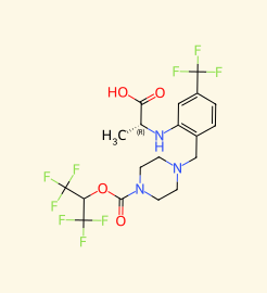 C[C@@H](Nc1cc(C(F)(F)F)ccc1CN1CCN(C(=O)OC(C(F)(F)F)C(F)(F)F)CC1)C(=O)O